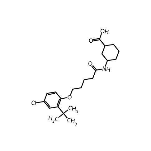 CC(C)(C)c1cc(Cl)ccc1OCCCCC(=O)NC1CCCC(C(=O)O)C1